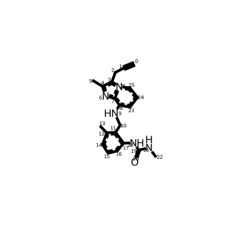 C#CCc1c(C)nc2c(NCc3c(C)cccc3NC(=O)NC)cccn12